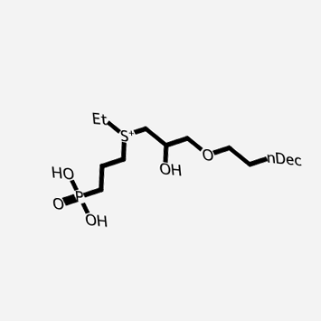 CCCCCCCCCCCCOCC(O)C[S+](CC)CCCP(=O)(O)O